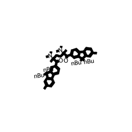 CCCCC1(CCCC)c2cc(C)ccc2-c2ccc(C(=O)C(C)(CCC(C)(C(=O)c3ccc4c(c3)C(CCCC)(CCCC)c3cc(C)ccc3-4)N(C)C)N(C)C)cc21